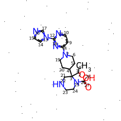 CC(=O)C1(C2CCN(c3ccnc(-n4ccnc4)n3)CC2)CNCCN1C(=O)O